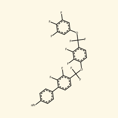 CCCc1ccc(-c2ccc(C(F)(F)Oc3ccc(C(F)(F)Oc4cc(F)c(F)c(F)c4)c(F)c3F)c(F)c2F)cc1